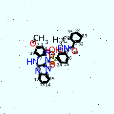 COc1cc(O)cc(Nc2nc3ccccc3nc2NS(=O)(=O)c2cccc(NC(=O)c3ccccc3C)c2)c1